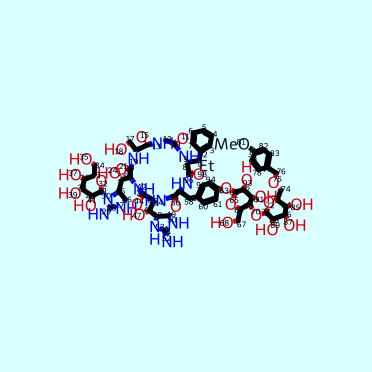 CCC(c1ccccc1)C1NC(=O)CNC(=O)C(CO)NC(=O)C(C(O)C2CNC(=N)N2C2OC(CO)C(O)C(O)C2O)NC(=O)C(C(O)C2CNC(=N)N2)NC(=O)C(Cc2ccc(OC3OC(CO)C(OC4OC(COCc5ccc(OC)cc5)C(O)C(O)C4O)C(O)C3O)cc2)NC1=O